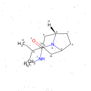 CNC(=O)N1C2CC[C@H]1CC(C(C)C)C2